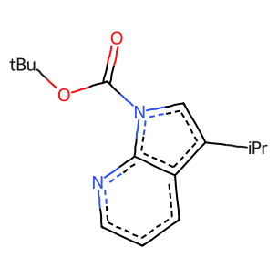 CC(C)c1cn(C(=O)OC(C)(C)C)c2ncccc12